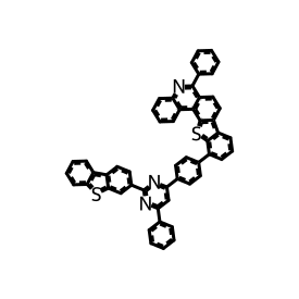 c1ccc(-c2cc(-c3ccc(-c4cccc5c4sc4c5ccc5c(-c6ccccc6)nc6ccccc6c54)cc3)nc(-c3ccc4c(c3)sc3ccccc34)n2)cc1